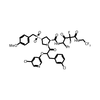 COc1ccc(CS(=O)(=O)[C@@H]2C[C@@H](C(=O)NC(C(=O)C(F)(F)C(=O)NCC(F)(F)F)C(C)C)N(C(=O)C(Cc3cccc(Cl)c3)Oc3cncc(Cl)c3)C2)cc1